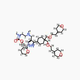 CN(CCN(C)C(=O)OC(C)(C)C)Cc1cn(C2CCCCO2)nc1C1CCC(COCCC2CCOCC2)(COCCC2CCOCC2)CC1